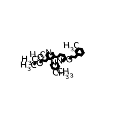 Cc1cccc(CCOc2ccc(-c3cnc(C)c(CC(=O)OC(C)C)c3N3CCC(C)(C)CC3)nc2)c1